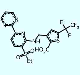 CCS(=O)(=O)c1ccc(-c2ncccn2)nc1NCc1cc(C(F)(F)C(F)(F)F)sc1C(=O)O